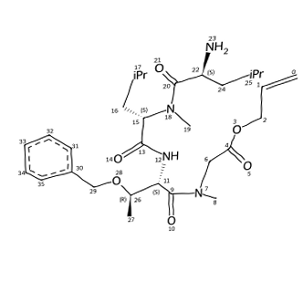 C=CCOC(=O)CN(C)C(=O)[C@@H](NC(=O)[C@H](CC(C)C)N(C)C(=O)[C@@H](N)CC(C)C)[C@@H](C)OCc1ccccc1